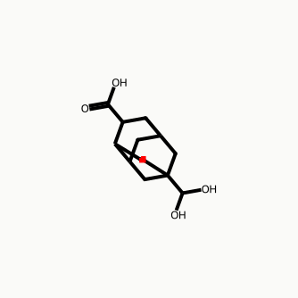 O=C(O)C1CC2CC3CC(C(O)O)(CCC31)C2